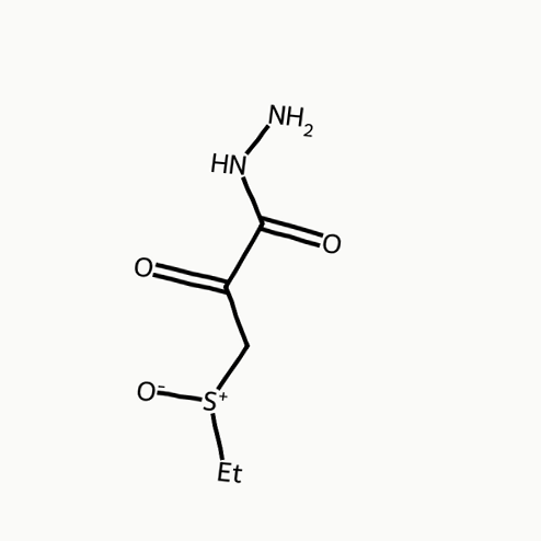 CC[S+]([O-])CC(=O)C(=O)NN